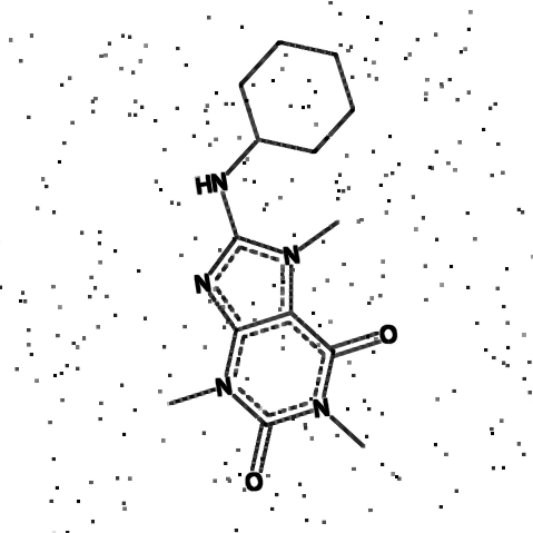 Cn1c(=O)c2c(nc(NC3CCCCC3)n2C)n(C)c1=O